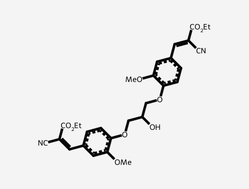 CCOC(=O)C(C#N)=Cc1ccc(OCC(O)COc2ccc(C=C(C#N)C(=O)OCC)cc2OC)c(OC)c1